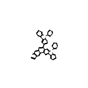 c1ccc(-n2c3ccccc3c3cc(-c4cc5cc6sccc6cc5c5cc6c7ccccc7n(-c7ccccc7)c6cc45)ccc32)cc1